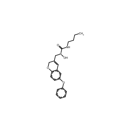 CCCCNC(=O)N(O)CC1=Cc2cc(Oc3ccccc3)ccc2OC1